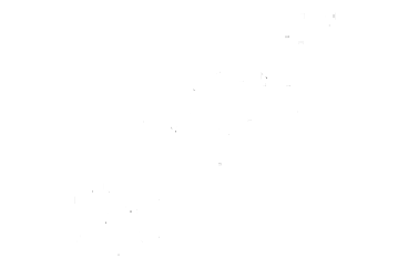 CN(CCO[Si](C)(C)C(C)(C)C)c1ccc(N2C[C@H](CO)OC2=O)cc1F